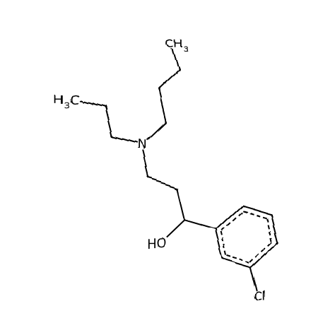 CCCCN(CCC)CCC(O)c1cccc(Cl)c1